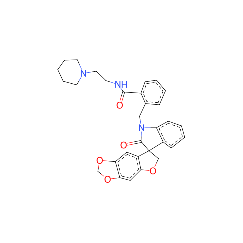 O=C(NCCN1CCCCC1)c1ccccc1CN1C(=O)C2(COc3cc4c(cc32)OCO4)c2ccccc21